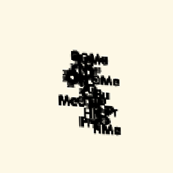 CCC(C)[C@@H]([C@@H](CC(=O)N1CC[C@H]1[C@H](OC)[C@@H](C)C(=O)N[C@@H](Cc1ccccc1)C(=O)OC)OC)N(C)C(=O)[C@@H](NC(=O)[C@@H](NC)C(C)C)C(C)C